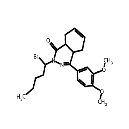 CCCCC(Br)N1N=C(c2ccc(OC)c(OC)c2)C2CC=CCC2C1=O